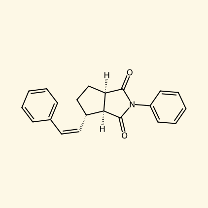 O=C1[C@H]2[C@H](/C=C\c3ccccc3)CC[C@H]2C(=O)N1c1ccccc1